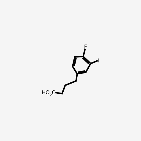 O=C(O)CCCc1ccc(F)c(I)c1